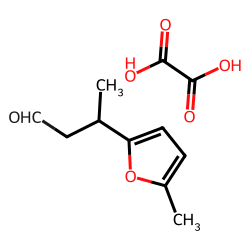 Cc1ccc(C(C)CC=O)o1.O=C(O)C(=O)O